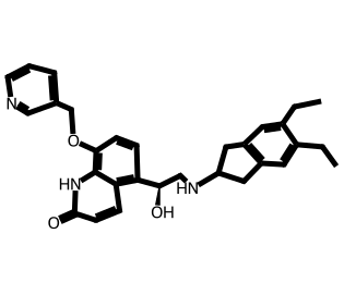 CCc1cc2c(cc1CC)CC(NC[C@@H](O)c1ccc(OCc3cccnc3)c3[nH]c(=O)ccc13)C2